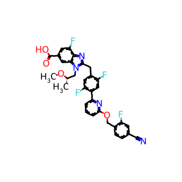 CO[C@@H](C)Cn1c(Cc2cc(F)c(-c3cccc(OCc4ccc(C#N)cc4F)n3)cc2F)nc2c(F)cc(C(=O)O)cc21